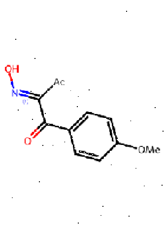 COc1ccc(C(=O)/C(=N/O)C(C)=O)cc1